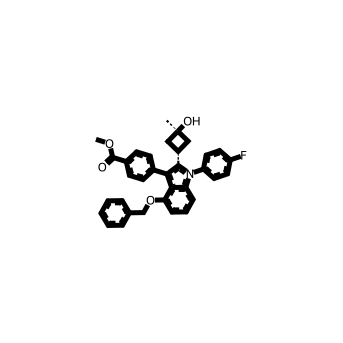 COC(=O)c1ccc(-c2c3c(OCc4ccccc4)cccc3n(-c3ccc(F)cc3)c2[C@H]2C[C@](C)(O)C2)cc1